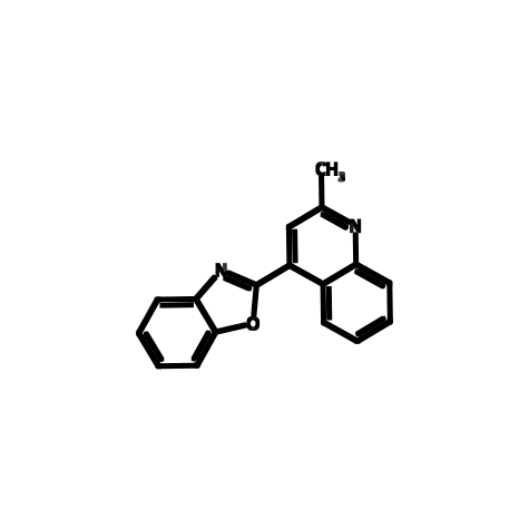 Cc1cc(-c2nc3ccccc3o2)c2ccccc2n1